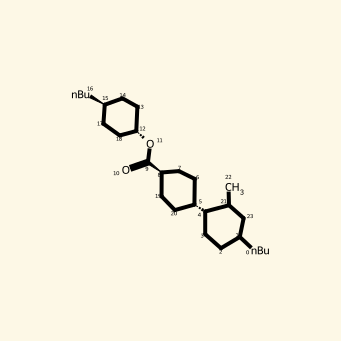 CCCCC1CCC([C@H]2CC[C@H](C(=O)O[C@H]3CC[C@H](CCCC)CC3)CC2)C(C)C1